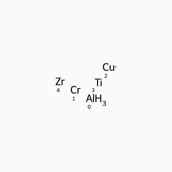 [AlH3].[Cr].[Cu].[Ti].[Zr]